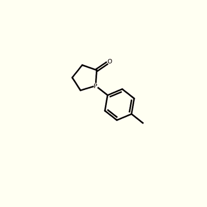 Cc1ccc(P2CCCC2=O)cc1